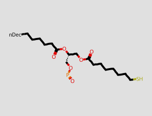 CCCCCCCCCCCCCCCC(=O)O[C@@H](COP=O)COC(=O)CCCCCCCS